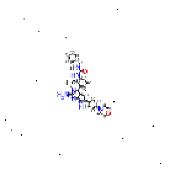 Cc1c(NC(=O)N2Cc3ccccc3C2)cccc1-c1nc(N)nc2[nH]c(-c3ccc(N4CCOCC4)cc3)cc12